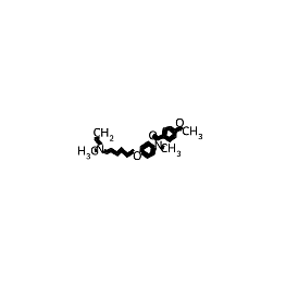 C=CCN(C)CCCCCCOc1ccc(N(C)C(=O)c2ccc(C(C)=O)cc2)cc1